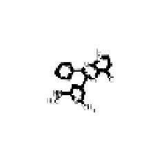 CNc1cc(-c2nc3c(=O)cc[nH]c3nc2-c2ccccc2)cc(C)n1